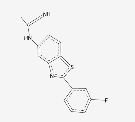 CC(=N)Nc1ccc2sc(-c3cccc(F)c3)nc2c1